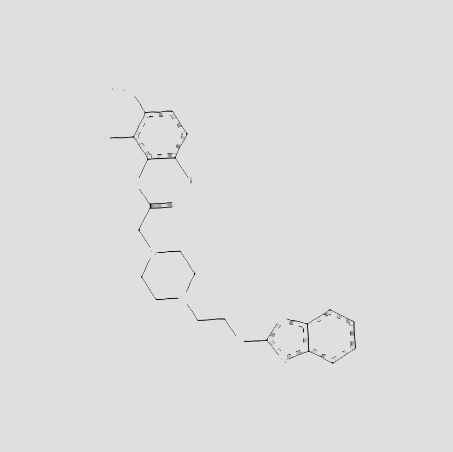 COc1ccc(C(C)C)c(NC(=O)CN2CCN(CCSc3nc4ccccc4o3)CC2)c1C(C)C